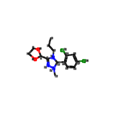 CCCN1C(C2OCCO2)=NN(C)C1c1ccc(Cl)cc1Cl